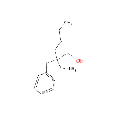 CCCCC(CC)(CO)Cc1ccccc1